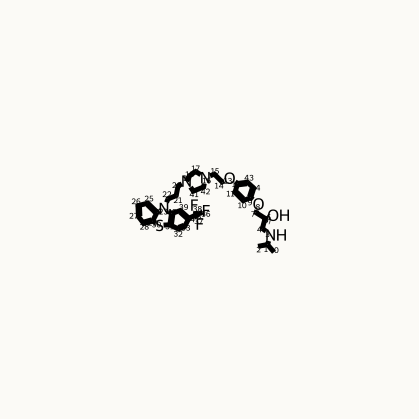 CC(C)NC[C@H](O)COc1ccc(OCCN2CCN(CCCN3c4ccccc4Sc4ccc(C(F)(F)F)cc43)CC2)cc1